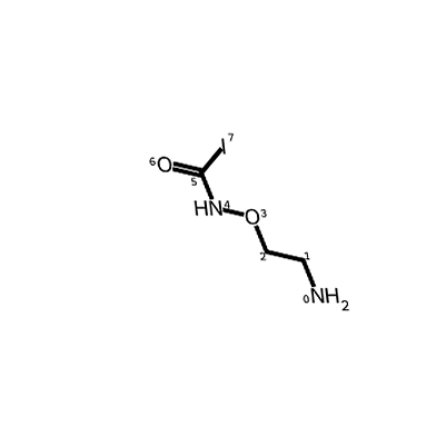 NCCONC(=O)I